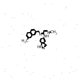 C=N/C=C\C(=N/Cc1ccc2c(c1)CC(C)=CC2)Nc1ccc2[nH]ncc2c1